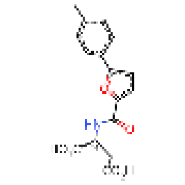 Cc1ccc(-c2ccc(C(=O)N[C@@H](CC(=O)O)C(=O)O)o2)cc1